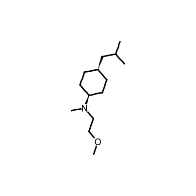 COCCN(C)[C@H]1CC[C@@H](CC(C)C)CC1